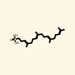 CC(C)=CCCC(C)=CCCC(C)=CCCC(C)=CCCP(=O)(O)O